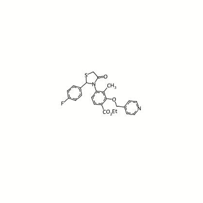 CCOC(=O)c1ccc(N2C(=O)CSC2c2ccc(F)cc2)c(C)c1OCc1ccncc1